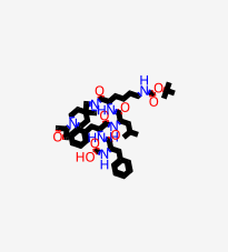 CC(C)CC(NC(=O)C(Cc1ccccc1)NC(=O)C(Cc1ccccc1)NC(=O)O)C(=O)NC(CCCCNC(=O)OC(C)(C)C)C(=O)N1CC2(CCN(C3COC3)CC2)C1